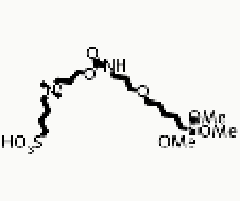 CO[Si](CCCCCOCCCNC(=O)OCCC[N+](C)(C)CCCCS(=O)(=O)O)(OC)OC